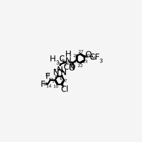 CC(C#N)(Cn1nc2cc(Cl)cc(C(F)CF)c2n1)NC(=O)c1ccc(OC(F)(F)F)cc1